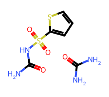 NC(=O)NS(=O)(=O)c1cccs1.NC(N)=O